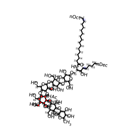 CCCCCCCC/C=C\CCCCCCCCCCCCCC(=O)N[C@@H](CO[C@@H]1OC(CO)[C@@H](O[C@@H]2OC(CO)[C@H](O[C@@H]3OC(CO)[C@H](O[C@@H]4OC(CO)[C@H](O)[C@H](O[C@@H]5OC(CO)[C@H](O)[C@H](O[C@H]6C(O)[C@H](O)C(C)O[C@H]6O)C5O)C4NC(C)=O)[C@H](O[C@@H]4OC(CO)[C@H](O)[C@H](O)C4NC(C)=O)C3O)[C@H](O)C2O)[C@H](O)C1O)[C@H](O)/C=C/CCCCCCCCCCCCC